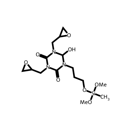 CO[Si](C)(OC)OCCCN1C(=O)N(CC2CO2)C(=O)N(CC2CO2)C1O